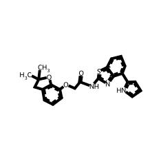 CC1(C)Cc2cccc(OCC(=O)Nc3nc4c(-c5ccc[nH]5)cccc4s3)c2O1